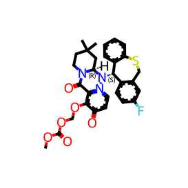 COC(=O)OCOc1c2n(ccc1=O)N([C@H]1c3ccc(F)cc3CSc3ccccc31)[C@@H]1CC(C)(C)CCN1C2=O